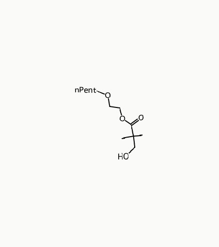 CCCCCOCCOC(=O)C(C)(C)CO